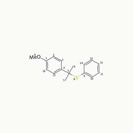 COc1ccc(C(C)(C)Sc2ccccc2)cc1